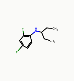 CCC(CC)Nc1ccc(F)cc1Cl